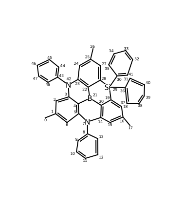 Cc1cc2c3c(c1)N(c1ccccc1)c1cc(C)cc4c1B3c1c(cc(C)cc1[Si]4(c1ccccc1)c1ccccc1)N2c1ccccc1